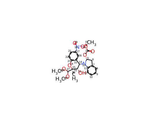 COC(=O)O[C@@H]1Cc2ccccc2N1[C@@H]1c2cc([N+](=O)[O-])ccc2O[C@](C)(C(OC)OC)[C@H]1O